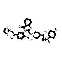 CC(C)Oc1ccc(C(=O)Cn2nccn2)cc1-n1c(CN2CCC(C(=O)NC(C)c3ccc(Cl)cc3)CC2)nc2ccccc2c1=O